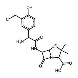 CC1(C)SC2C(NC(=O)C(N)c3ccc(O)c(CCl)c3)C(=O)N2C1C(=O)O